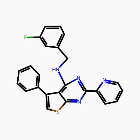 Fc1cccc(CNc2nc(-c3ccccn3)nc3scc(-c4ccccc4)c23)c1